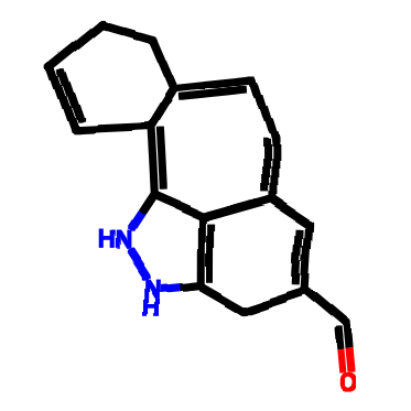 O=CC1=CC2=CC=C3CCC=CC3=C3NNC(=C23)C1